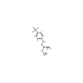 CC(C)(C)c1ccc(SCC(N)CO)cc1